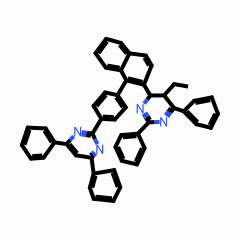 CCC1C(c2ccccc2)=NC(c2ccccc2)=NC1c1ccc2ccccc2c1-c1ccc(-c2nc(-c3ccccc3)cc(-c3ccccc3)n2)cc1